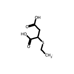 [CH2]CSC(CC(=O)O)C(=O)O